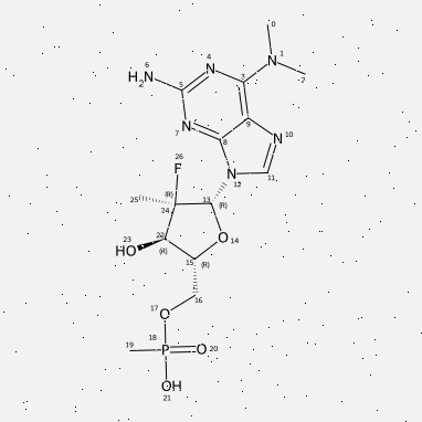 CN(C)c1nc(N)nc2c1ncn2[C@@H]1O[C@H](COP(C)(=O)O)[C@@H](O)[C@@]1(C)F